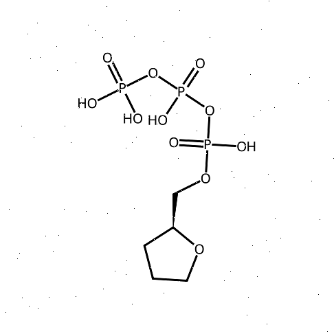 O=P(O)(O)OP(=O)(O)OP(=O)(O)OC[C@@H]1CCCO1